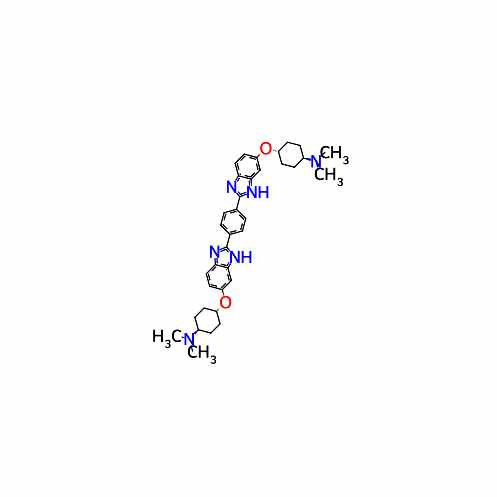 CN(C)[C@H]1CC[C@H](Oc2ccc3nc(-c4ccc(-c5nc6ccc(O[C@H]7CC[C@H](N(C)C)CC7)cc6[nH]5)cc4)[nH]c3c2)CC1